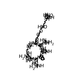 CC(C)C[C@H]1NC(=O)[C@@H](CCCNC(=N)N)NC(=O)[C@@H](Cc2ccccc2)NC(=O)[C@@H](Cc2c[nH]cn2)NC(=O)C(CCCNC(=N)N)NC(=O)[C@@H](NC(=O)COCCOCCOCCNC(=O)CCCC[C@@H]2SC[C@@H]3NC(=O)N[C@@H]32)Cc2cn(nn2)CCCC[C@@H](C(N)=O)NC1=O